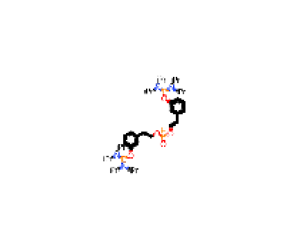 CC(C)N(C(C)C)P(Oc1cccc(CCO[PH](=O)OCCc2cccc(OP(N(C(C)C)C(C)C)N(C(C)C)C(C)C)c2)c1)N(C(C)C)C(C)C